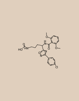 COc1cccc(OC)c1C(=O)NC(CCCNC(=O)O)c1nc(-c2ccc(Cl)cc2)no1